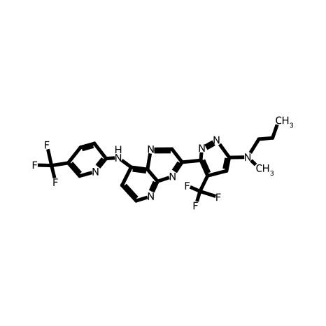 CCCN(C)c1cc(C(F)(F)F)c(-c2cnc3c(Nc4ccc(C(F)(F)F)cn4)ccnc3n2)nn1